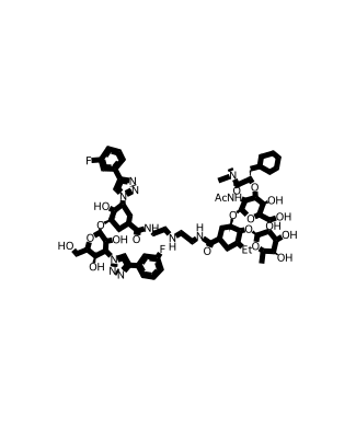 CCC1CC(C(=O)NCCNCCNC(=O)C2CC(n3cc(-c4cccc(F)c4)nn3)C(O)[C@H](O[C@@H]3OC(CO)[C@H](O)C(n4cc(-c5cccc(F)c5)nn4)C3O)C2)C[C@@H](O[C@@H]2OC(CO)[C@H](O)C(O[C@@H](CC3CCCCC3)C(=O)N(C)C)C2NC(C)=O)C1O[C@@H]1OC(C)[C@@H](O)C(O)C1O